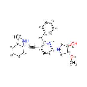 CNC1(C#Cc2ccc(N3C[C@@H](O)[C@H](OC)C3)nc2Cc2ccccc2)CCCCC1